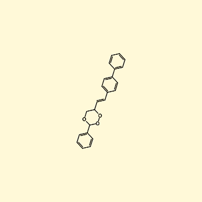 C(=CC1COC(c2ccccc2)OO1)c1ccc(-c2ccccc2)cc1